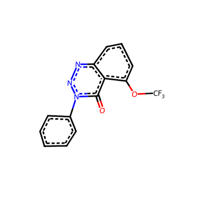 O=c1c2c(OC(F)(F)F)cccc2nnn1-c1ccccc1